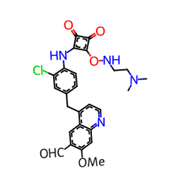 COc1cc2nccc(Cc3ccc(Nc4c(ONCCN(C)C)c(=O)c4=O)c(Cl)c3)c2cc1C=O